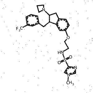 Cn1cnc(S(=O)(=O)NCCOc2ccc3c(c2)C(Cc2cccc(C(F)(F)F)c2)C(N2CCC2)C3)c1